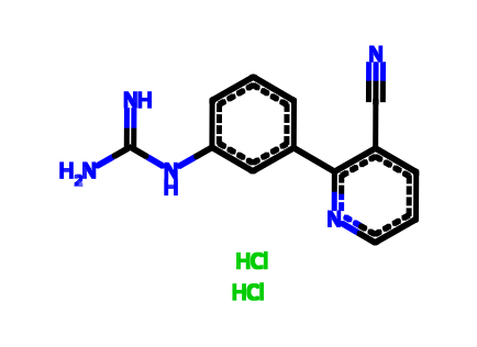 Cl.Cl.N#Cc1cccnc1-c1cccc(NC(=N)N)c1